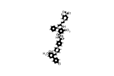 CCN(CC)C1CCN(CC[C@H](CSc2ccccc2)Nc2ccc(S(=O)(=O)NC(=O)c3ccc(N4CCN(CC5=C(c6ccc(Cl)cc6)CCC(C)(C)C5)CC4)cc3)cc2[N+](=O)[O-])CC1F